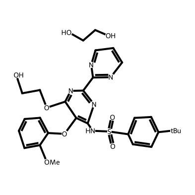 COc1ccccc1Oc1c(NS(=O)(=O)c2ccc(C(C)(C)C)cc2)nc(-c2ncccn2)nc1OCCO.OCCO